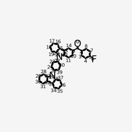 O=C(c1ccc(F)cc1)c1ccc2c(c1)c1ccccc1n2-c1ccc(-n2c3ccccc3c3ccccc32)cc1